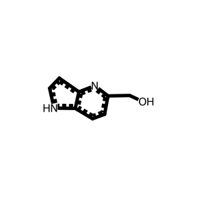 OCc1ccc2[nH]ccc2n1